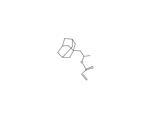 C=CC(=O)OC(C)CC12CC3CC(CC(C3)C1)C2